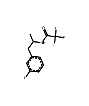 CC(Cc1cccc(F)c1)NC(=O)C(F)(F)F